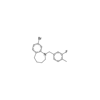 Cc1ccc(CN2CCCCc3ccc(Br)cc32)cc1F